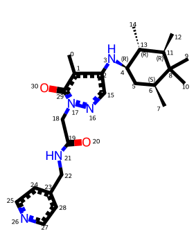 Cc1c(N[C@@H]2C[C@H](C)C(C)(C)[C@H](C)[C@H]2C)cnn(CC(=O)NCc2ccncc2)c1=O